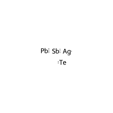 [Ag].[Pb].[Sb].[Te]